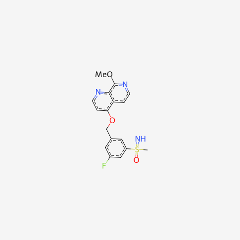 COc1nccc2c(OCc3cc(F)cc(S(C)(=N)=O)c3)ccnc12